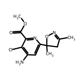 COC(=O)c1nc(C2(C)CC(C)=NO2)cc(N)c1Cl